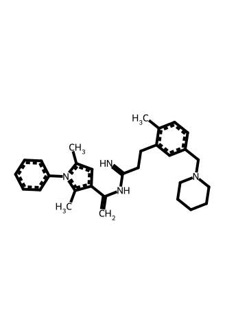 C=C(NC(=N)CCc1cc(CN2CCCCC2)ccc1C)c1cc(C)n(-c2ccccc2)c1C